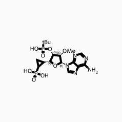 CO[C@H]1[C@@H](OP(=O)(O)C(C)(C)C)[C@@H](C2CC2P(=O)(O)O)O[C@H]1n1cnc2c(N)ncnc21